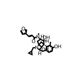 Cc1c(O)ccc2c1[C@@]13CC4(C[C@@H](N(C)C(=O)/C=C/c5ccoc5)[C@@H]1O)N(CC1CC1)[C@H](C2)[C@]43O